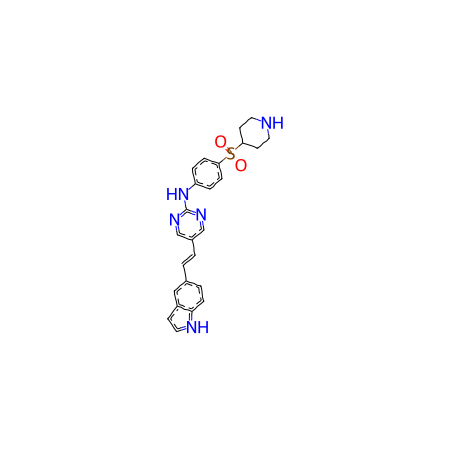 O=S(=O)(c1ccc(Nc2ncc(C=Cc3ccc4[nH]ccc4c3)cn2)cc1)C1CCNCC1